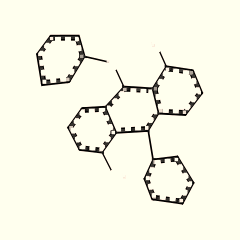 CC(C)(C)c1cccc2c(-c3ccccc3)c3c(C(C)(C)C)cccc3c(Oc3ccccc3)c12